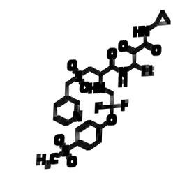 CCC(NC(=O)C(CS(=O)(=O)Cc1cccnc1)NCC(F)(F)Oc1ccc(S(C)(=O)=O)cc1)C(=O)C(=O)NC1CC1